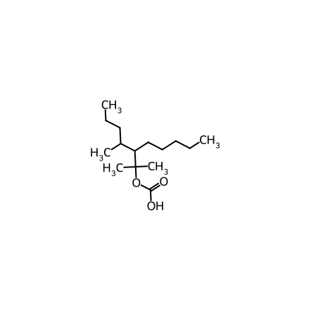 CCCCCC(C(C)CCC)C(C)(C)OC(=O)O